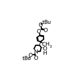 CC(C)(C)OC(=O)OC1=CCC(C)([C@@H]2CCN(C(=O)OC(C)(C)C)C[C@H]2O)C=C1